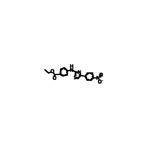 CCOC(=O)c1ccc(Nc2nc(-c3ccc([N+](=O)[O-])cc3)cs2)cc1